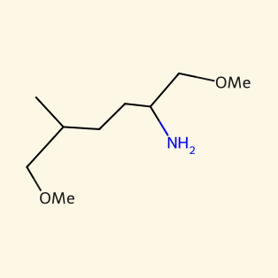 COCC(C)CCC(N)COC